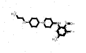 CCCO[C@H]1CC[C@H](N2CCC(Nc3cc(C)cc(F)c3N=O)CC2)CC1